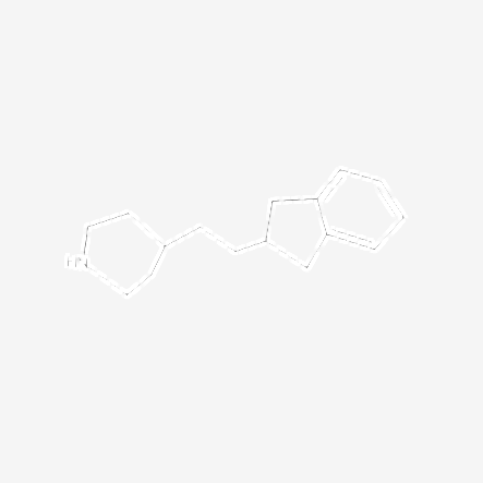 c1ccc2c(c1)CC(CCC1CCNCC1)C2